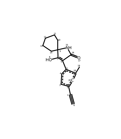 C#Cc1ccc(C2=C(O)C3(CCCCC3)NC2=O)c(C)c1